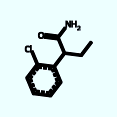 CCC(C(N)=O)c1ccccc1Cl